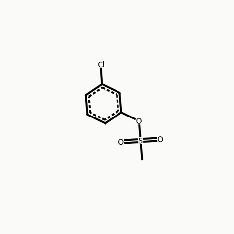 CS(=O)(=O)Oc1[c]ccc(Cl)c1